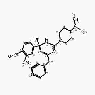 COc1ccc(C2(N)N=C(Nc3ccncc3)N=C(N3CCC(N(C)C)CC3)N2)cc1OC